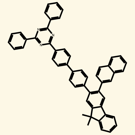 CC1(C)c2ccccc2-c2cc(-c3ccc4ccccc4c3)c(-c3ccc(-c4ccc(-c5nc(-c6ccccc6)nc(-c6ccccc6)n5)cc4)cc3)cc21